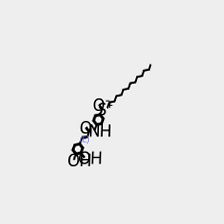 CCCCCCCCCCCCCC[S+]([O-])c1ccc(NC(=O)/C=C/c2ccc(O)c(O)c2)cc1